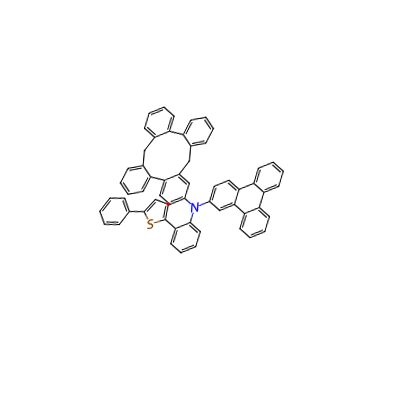 c1ccc(-c2ccc(-c3ccccc3N(c3ccc4c(c3)Cc3ccccc3-c3ccccc3Cc3ccccc3-4)c3ccc4c5ccccc5c5ccccc5c4c3)s2)cc1